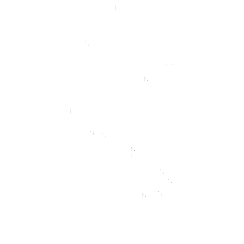 CCN1CCC(CC(NC(=O)/C=C/c2cc(Cl)ccc2-n2cnnn2)c2cc(-c3ccc(NC(=O)OC)cc3)c(Cl)nn2)C1